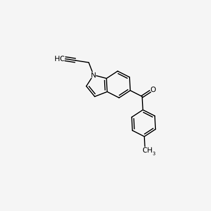 C#CCn1ccc2cc(C(=O)c3ccc(C)cc3)ccc21